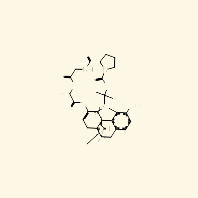 C[C@H](NC(=O)[C@@H]1CCCN1C(=O)OC(C)(C)C)C(=O)O[C@@H](C)C(=O)OC1=CC[C@@]2(O)[C@H]3Cc4ccc(O)c5c4[C@@]2(CCN3C)[C@H]1O5